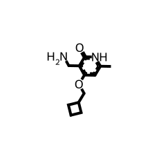 Cc1cc(OCC2CCC2)c(CN)c(=O)[nH]1